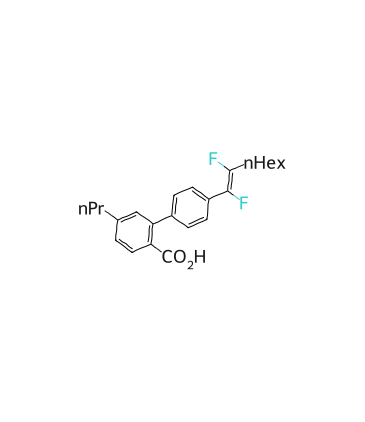 CCCCCC/C(F)=C(\F)c1ccc(-c2cc(CCC)ccc2C(=O)O)cc1